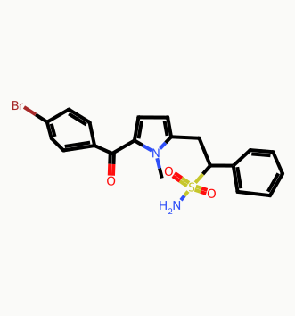 Cn1c(CC(c2ccccc2)S(N)(=O)=O)ccc1C(=O)c1ccc(Br)cc1